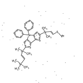 CC(C)S/C=C/[Si](C)(C)c1cc2c(s1)-c1sc([Si](C)(C)/C=C/[Si](C)(C)C)cc1[Si]2(c1ccccc1)c1ccccc1